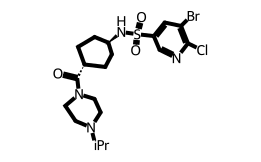 CC(C)N1CCN(C(=O)[C@H]2CC[C@H](NS(=O)(=O)c3cnc(Cl)c(Br)c3)CC2)CC1